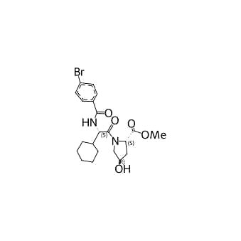 COC(=O)[C@@H]1C[C@@H](O)CN1C(=O)[C@@H](NC(=O)c1ccc(Br)cc1)C1CCCCC1